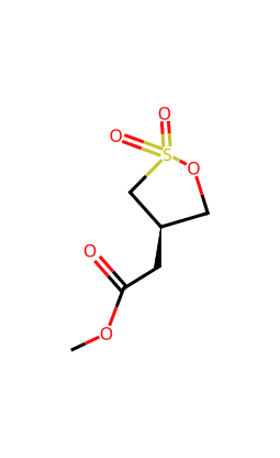 COC(=O)C[C@@H]1COS(=O)(=O)C1